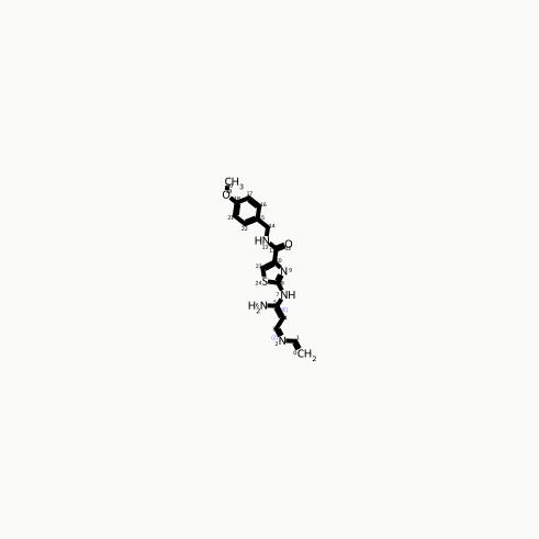 C=C/N=C\C=C(/N)Nc1nc(C(=O)NCc2ccc(OC)cc2)cs1